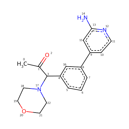 CC(=O)C(c1cccc(-c2ccnc(N)c2)c1)N1CCOCC1